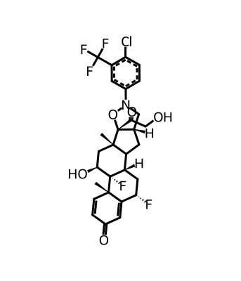 C[C@]12C=CC(=O)C=C1[C@@H](F)C[C@H]1C3C[C@H]4CN(c5ccc(Cl)c(C(F)(F)F)c5)O[C@@]4(C(=O)CO)[C@@]3(C)C[C@H](O)[C@@]12F